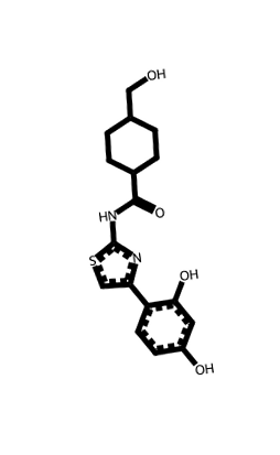 O=C(Nc1nc(-c2ccc(O)cc2O)cs1)C1CCC(CO)CC1